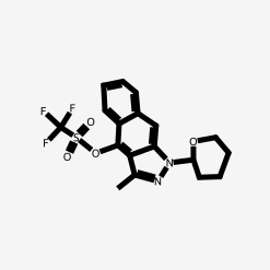 Cc1nn(C2CCCCO2)c2cc3ccccc3c(OS(=O)(=O)C(F)(F)F)c12